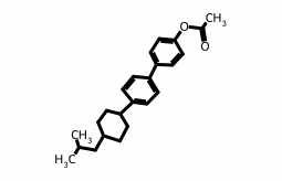 CC(=O)Oc1ccc(-c2ccc(C3CCC(CC(C)C)CC3)cc2)cc1